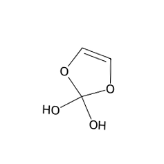 OC1(O)OC=CO1